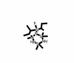 CCC(C)[Si](F)(C(C)CC)N1[Si](C)(C)N[Si](C)(C)N[Si]1(C)C